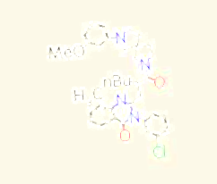 CCCCC(Cc1nc2c(C)cccc2c(=O)n1-c1cccc(Cl)c1)C(=O)N1CCC2(CCN(c3cccc(OC)c3)C2)C1